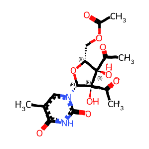 CC(=O)OC[C@H]1O[C@@H](n2cc(C)c(=O)[nH]c2=O)[C@@](O)(C(C)=O)[C@@]1(O)C(C)=O